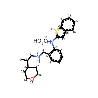 CC(CNCc1ccccc1N(C(=O)O)c1cc2ccccc2s1)C1CCOCC1